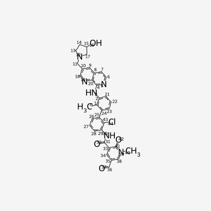 Cc1c(Nc2nccc3cc(CN4CCC(O)C4)cnc23)cccc1-c1cccc(NC(=O)c2cc(C=O)cn(C)c2=O)c1Cl